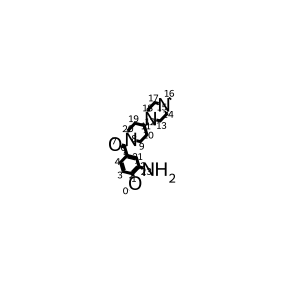 COc1ccc(C(=O)N2CCC(N3CCN(C)CC3)CC2)cc1N